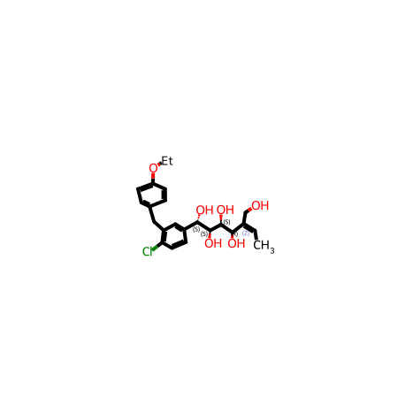 C/C=C(/CO)[C@@H](O)[C@H](O)[C@@H](O)[C@@H](O)c1ccc(Cl)c(Cc2ccc(OCC)cc2)c1